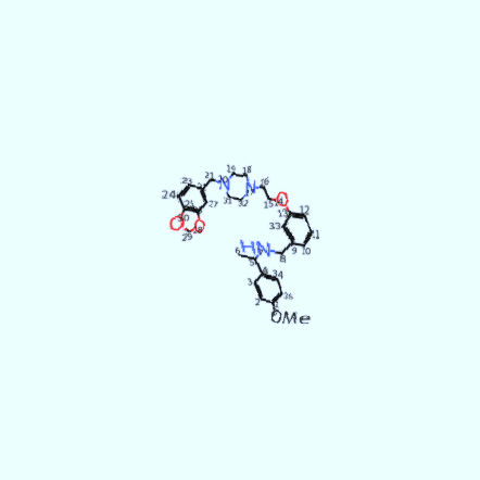 COc1ccc(C(C)NCc2cccc(OCCN3CCN(Cc4ccc5c(c4)OCO5)CC3)c2)cc1